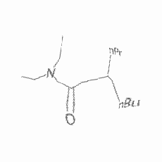 [CH2]CCCC(CCC)C(=O)N(C)C